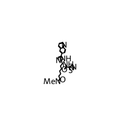 CNC(=O)CCCCCC(NC(=O)c1cncs1)c1ncc(-c2ccc3ncccc3c2)[nH]1